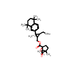 COCC1C(COC(=O)C23CCC(C)(C(=O)O2)C3(C)C)[C@@]1(C)c1ccc2c(c1)C(C)(C)CCC2(C)C